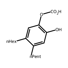 CCCCCCc1cc(OC(=O)O)c(O)cc1CCCCC